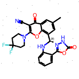 Cc1cc([C@@H](C)Nc2ccccc2-c2n[nH]c(=O)o2)c2oc(N3CCC(F)(F)CC3)c(C#N)c(=O)c2c1